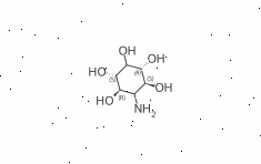 NC1[C@@H](O)[C@H](O)C(O)[C@H](O)[C@H]1O